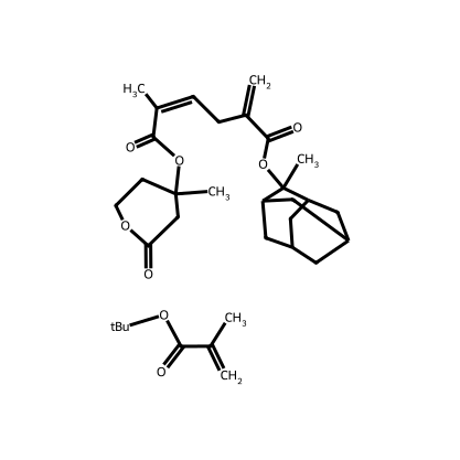 C=C(C)C(=O)OC(C)(C)C.C=C(CC=C(C)C(=O)OC1(C)CCOC(=O)C1)C(=O)OC1(C)C2CC3CC(C2)CC1C3